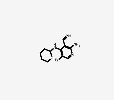 N=Cc1c(N)ncc(Br)c1NC1CCCCO1